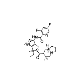 CC[C@]1(C)c2[nH]nc(NC(=O)c3ncc(F)cc3F)c2CN1C(=O)C1C[C@@H]2CCCN2C[C@@H]1C